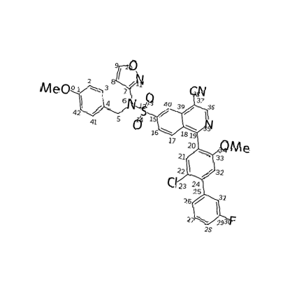 COc1ccc(CN(c2ccon2)S(=O)(=O)c2ccc3c(-c4cc(Cl)c(-c5cccc(F)c5)cc4OC)ncc(C#N)c3c2)cc1